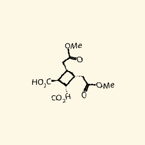 COC(=O)C[C@H]1[C@H](CC(=O)OC)[C@H](C(=O)O)[C@H]1C(=O)O